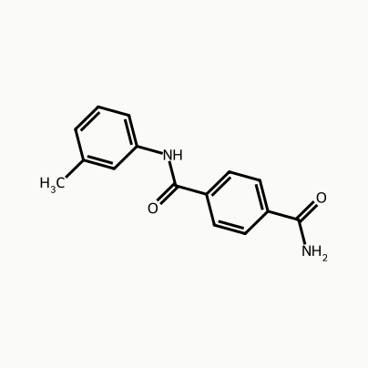 Cc1cccc(NC(=O)c2ccc(C(N)=O)cc2)c1